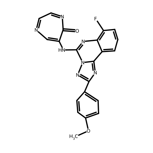 COc1ccc(-c2nc3c4cccc(F)c4nc(Nc4cnccnc4=O)n3n2)cc1